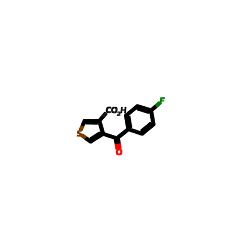 O=C(O)c1cscc1C(=O)c1ccc(F)cc1